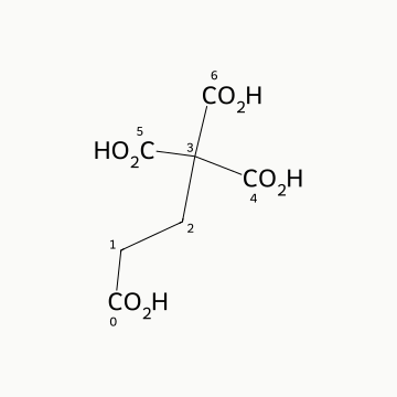 O=C(O)CCC(C(=O)O)(C(=O)O)C(=O)O